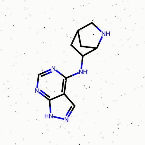 c1nc(NC2CC3CNC2C3)c2cn[nH]c2n1